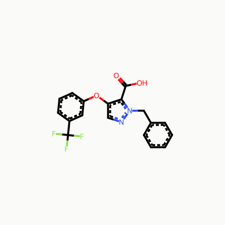 O=C(O)c1c(Oc2cccc(C(F)(F)F)c2)cnn1Cc1ccccc1